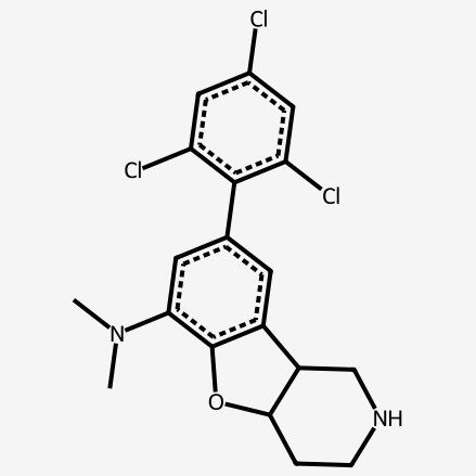 CN(C)c1cc(-c2c(Cl)cc(Cl)cc2Cl)cc2c1OC1CCNCC21